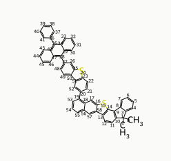 CC1(C)c2ccccc2-c2c1ccc1c2sc2cc3c(-c4ccc5sc6cc(-c7c8ccccc8c(-c8ccccc8)c8ccccc78)ccc6c5c4)cccc3cc21